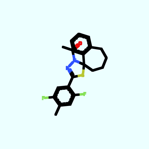 CC(=O)N1N=C(c2cc(F)c(C)cc2F)SC12CCCCc1ccccc12